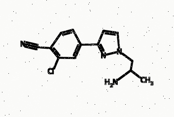 CC(N)Cn1ccc(-c2ccc(C#N)c(Cl)c2)n1